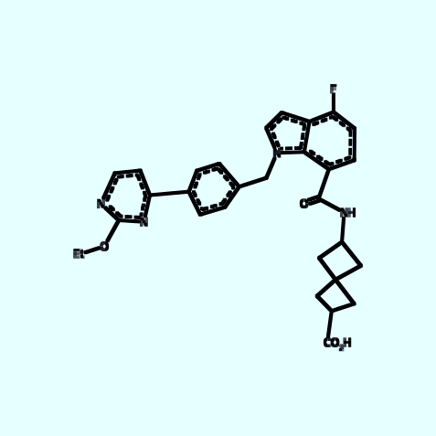 CCOc1nccc(-c2ccc(Cn3ccc4c(F)ccc(C(=O)NC5CC6(C5)CC(C(=O)O)C6)c43)cc2)n1